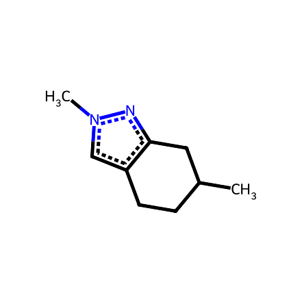 CC1CCc2cn(C)nc2C1